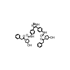 O=C(Nc1ccc(-c2nn[nH]c2-c2ccc(NC(=O)[C@@H]3C[C@@H](O)CN3C(=O)Cc3ccccc3)cc2)cc1)[C@@H]1C[C@@H](O)CN1C(=O)Cc1ccccc1